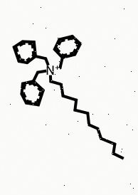 CCCCCCCCCCCC[N+](Cc1ccccc1)(Cc1ccccc1)Cc1ccccc1